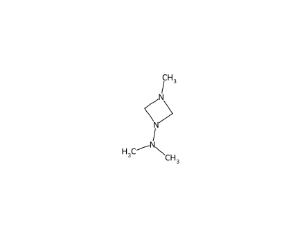 CN1CN(N(C)C)C1